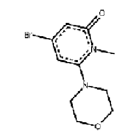 Cn1c(N2CCOCC2)cc(Br)cc1=O